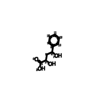 O=C(O)[C@H](O)CC(O)c1ccccc1